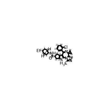 CC[C@@H]1C[C@H]2O[C@@H]1C[C@H]2NC(=O)[C@@H]1Cc2sc3c(c2C1)C(c1ccccc1Cl)=NC1(CC1)c1nnc(C)n1-3